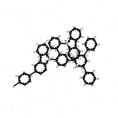 Cc1ccc(-c2ccc3c(c2)c2ccccc2n3-c2ccc(-c3nc(-c4ccccc4)cc(-c4ccccc4)n3)cc2-c2ccccc2-n2c3ccccc3c3ccccc32)cc1